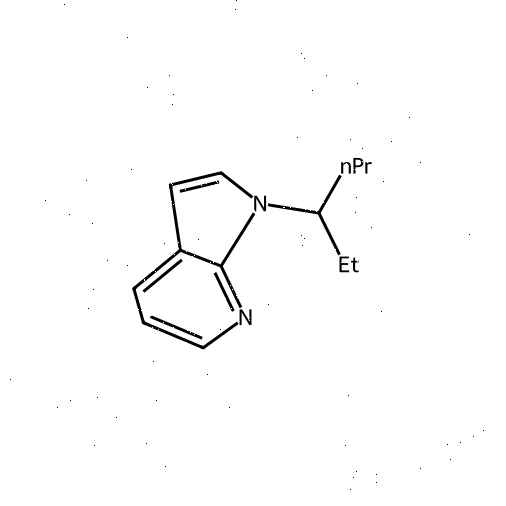 CCCC(CC)n1ccc2cccnc21